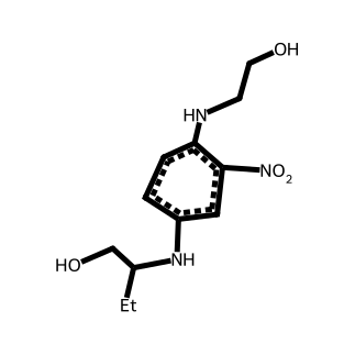 CCC(CO)Nc1ccc(NCCO)c([N+](=O)[O-])c1